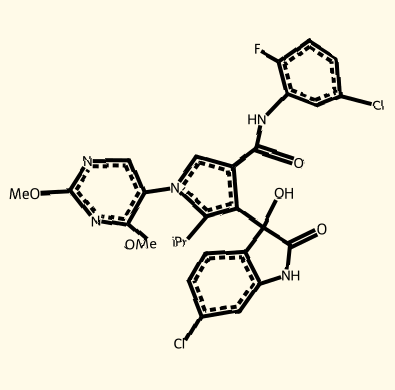 COc1ncc(-n2cc(C(=O)Nc3cc(Cl)ccc3F)c(C3(O)C(=O)Nc4cc(Cl)ccc43)c2C(C)C)c(OC)n1